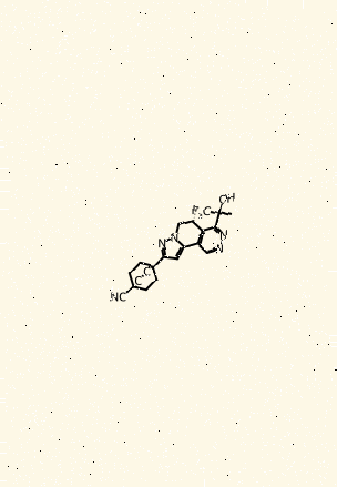 C[C@H]1Cn2nc(C34CCC(C#N)(CC3)CC4)cc2-c2cnnc([C@@](C)(O)C(F)(F)F)c21